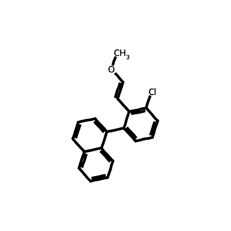 COC=Cc1c(Cl)cccc1-c1cccc2ccccc12